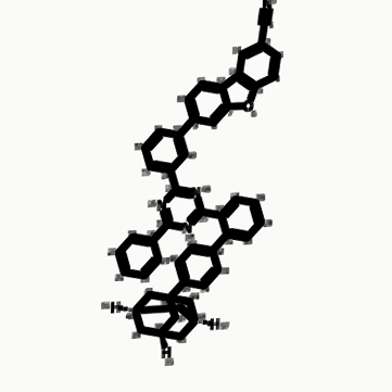 N#Cc1ccc2oc3cc(-c4cccc(-c5nc(-c6ccccc6)nc(-c6ccccc6-c6ccc(C78C[C@H]9C[C@@H](C7)C[C@@H](C8)C9)cc6)n5)c4)ccc3c2c1